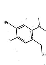 CC(C)Cc1cc(F)c(C(C)C)cc1N(C)C